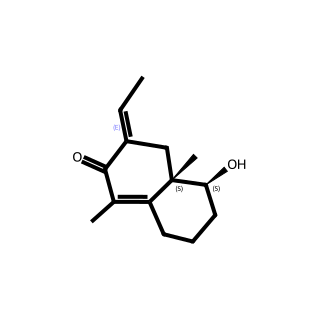 C/C=C1\C[C@@]2(C)C(=C(C)C1=O)CCC[C@@H]2O